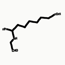 CCCCCCCCCCCCCCC(CCC)NCC=O